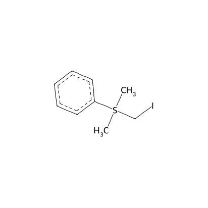 CS(C)(CI)c1ccccc1